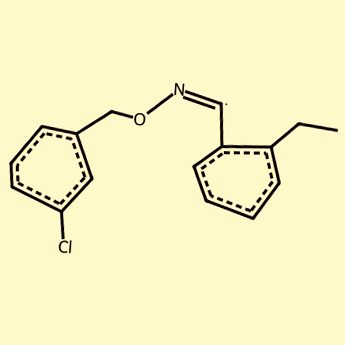 CCc1ccccc1/[C]=N\OCc1cccc(Cl)c1